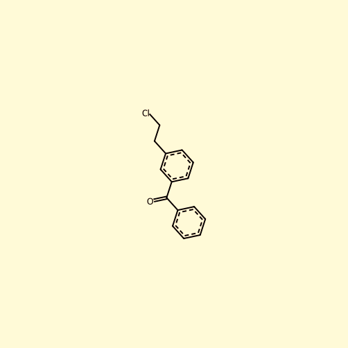 O=C(c1ccccc1)c1cccc(CCCl)c1